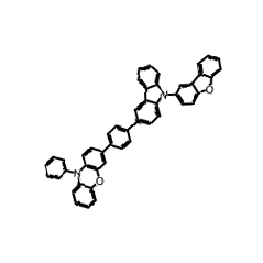 c1ccc(N2c3ccccc3Oc3cc(-c4ccc(-c5ccc6c(c5)c5ccccc5n6-c5ccc6oc7ccccc7c6c5)cc4)ccc32)cc1